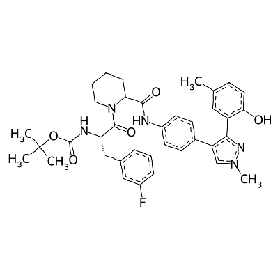 Cc1ccc(O)c(-c2nn(C)cc2-c2ccc(NC(=O)C3CCCCN3C(=O)[C@H](Cc3cccc(F)c3)NC(=O)OC(C)(C)C)cc2)c1